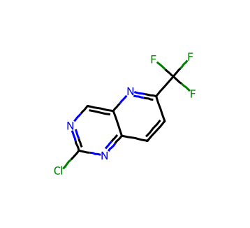 FC(F)(F)c1ccc2nc(Cl)ncc2n1